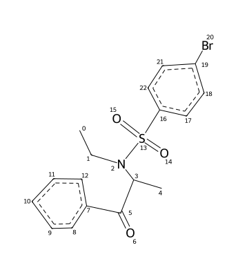 CCN(C(C)C(=O)c1ccccc1)S(=O)(=O)c1ccc(Br)cc1